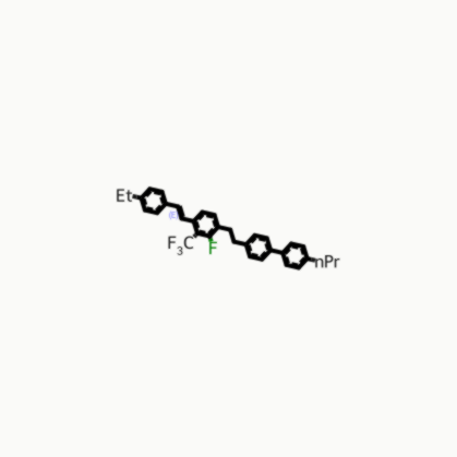 CCCc1ccc(-c2ccc(CCc3ccc(/C=C/c4ccc(CC)cc4)c(C(F)(F)F)c3F)cc2)cc1